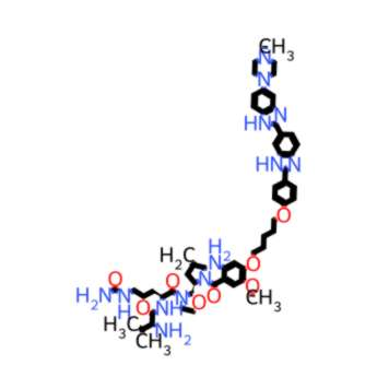 C=C1C[C@@H](C2OCCN2C(=O)[C@H](CCCNC(N)=O)NC(=O)[C@@H](N)C(C)C)N(C(=O)c2cc(OC)c(OCCCCCOc3ccc(-c4nc5ccc(-c6nc7cc(N8CCN(C)CC8)ccc7[nH]6)cc5[nH]4)cc3)cc2N)C1